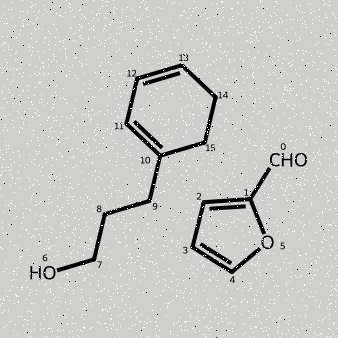 O=Cc1ccco1.OCCCC1=CC=CCC1